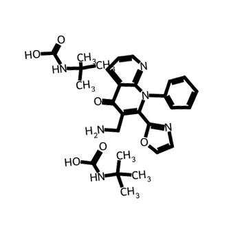 CC(C)(C)NC(=O)O.CC(C)(C)NC(=O)O.NCc1c(-c2ncco2)n(-c2ccccc2)c2ncccc2c1=O